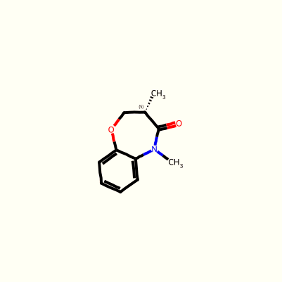 C[C@H]1COc2ccccc2N(C)C1=O